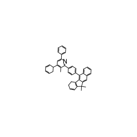 Cc1c(C2C=CC=CC2)cc(-c2ccccc2)nc1-c1ccc(-c2c3c(cc4ccccc24)C(C)(C)C2=C3CCC=C2)cc1